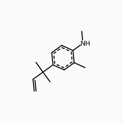 C=CC(C)(C)c1ccc(NC)c(C)c1